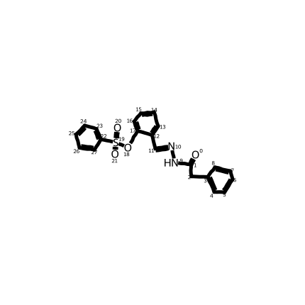 O=C(Cc1ccccc1)N/N=C/c1ccccc1OS(=O)(=O)c1ccccc1